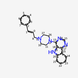 C(=Cc1ccccc1)CN1CCN(c2ncnc3c2[nH]c2ccccc23)CC1